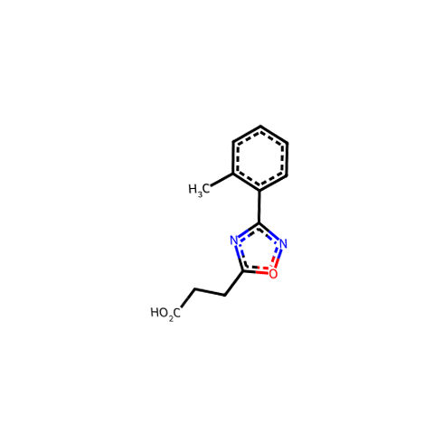 Cc1ccccc1-c1noc(CCC(=O)O)n1